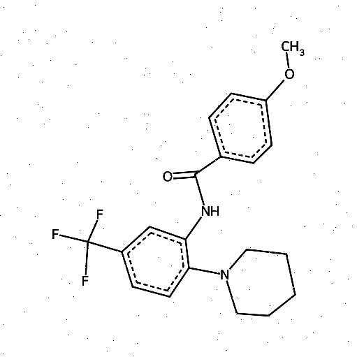 COc1ccc(C(=O)Nc2cc(C(F)(F)F)ccc2N2CCCCC2)cc1